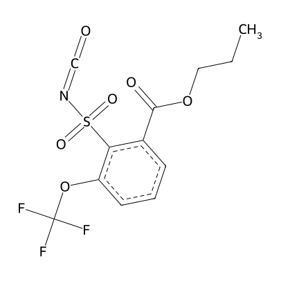 CCCOC(=O)c1cccc(OC(F)(F)F)c1S(=O)(=O)N=C=O